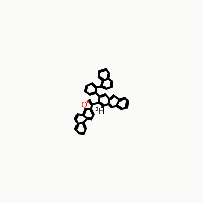 [2H]c1c(-c2coc3c2ccc2c4ccccc4ccc23)c(-c2ccccc2-c2cccc3ccccc23)cc2cc3ccccc3cc12